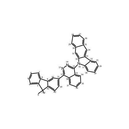 CC1(C)c2ccccc2-c2cc(-c3nnc(-n4c5ccccc5c5cc6ccccc6cc54)c4ccccc34)ccc21